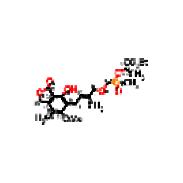 CCOC(=O)[C@H](C)OP(C)(=O)COC/C(C)=C/Cc1c(O)c2c(c(C)c1OC)COC2=O